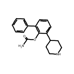 NC(=O)Oc1c(-c2ccccc2)cccc1C1CCNCC1